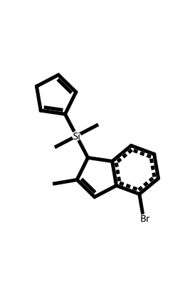 CC1=Cc2c(Br)cccc2C1[Si](C)(C)C1=CCC=C1